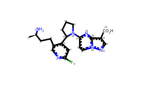 C[C@@H](N)CCc1cnc(F)cc1C1CCCN1c1ccn2ncc(C(=O)O)c2n1